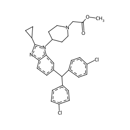 COC(=O)CN1CCC(n2c(C3CC3)nc3ccc(C(c4ccc(Cl)cc4)c4ccc(Cl)cc4)cc32)CC1